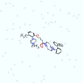 COc1ccccc1N1CCN(C(=O)CCCCOc2cccc(C)c2N2CCN(C)CC2)CC1